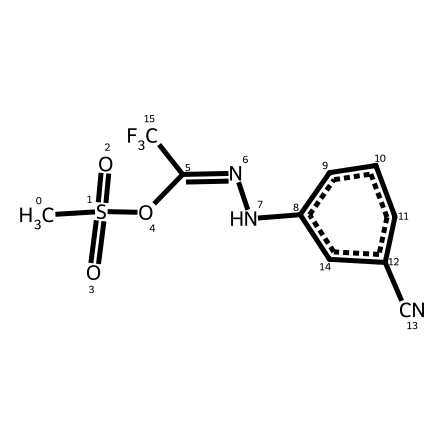 CS(=O)(=O)O/C(=N\Nc1cccc(C#N)c1)C(F)(F)F